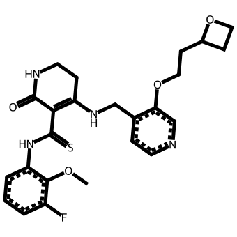 COc1c(F)cccc1NC(=S)C1=C(NCc2ccncc2OCCC2CCO2)CCNC1=O